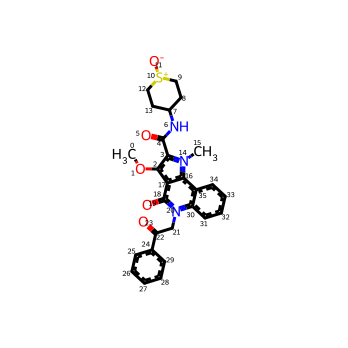 COc1c(C(=O)NC2CC[S+]([O-])CC2)n(C)c2c1c(=O)n(CC(=O)c1ccccc1)c1ccccc21